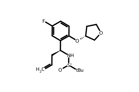 C=CC[C@H](N[S+]([O-])C(C)(C)C)c1cc(F)ccc1O[C@@H]1CCOC1